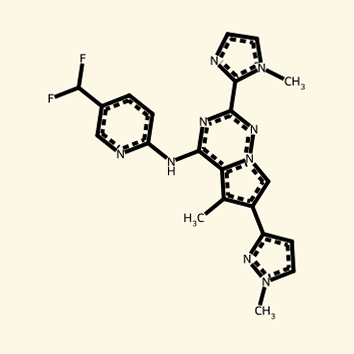 Cc1c(-c2ccn(C)n2)cn2nc(-c3nccn3C)nc(Nc3ccc(C(F)F)cn3)c12